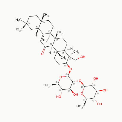 C[C@]1(C(=O)O)CC[C@]2(C)CC[C@]3(C)C(=CC(=O)[C@@H]4[C@@]5(C)CC[C@H](O[C@@H]6O[C@H](C(=O)O)[C@@H](O)[C@H](O)[C@H]6O[C@@H]6O[C@H](C(=O)O)[C@@H](O)[C@H](O)[C@H]6O)[C@](C)(CO)[C@@H]5CC[C@]43C)[C@@H]2C1